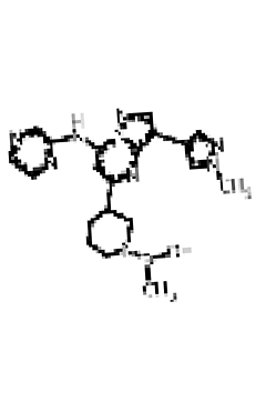 CB(O)N1CCCC(c2cc(Nc3cnccn3)n3ncc(-c4cnn(C)c4)c3n2)C1